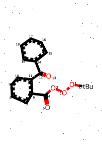 CC(C)(C)OOOC(=O)c1ccccc1C(=O)c1ccccc1